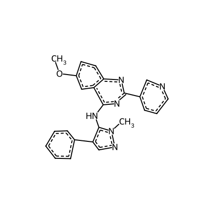 COc1ccc2nc(-c3cccnc3)nc(Nc3c(-c4ccccc4)cnn3C)c2c1